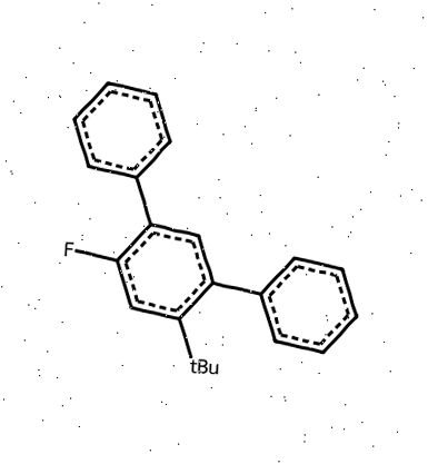 CC(C)(C)c1cc(F)c(-c2ccccc2)cc1-c1ccccc1